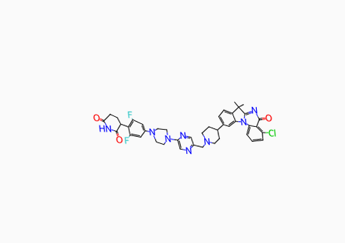 CC1(C)c2ccc(C3CCN(Cc4cnc(N5CCN(c6cc(F)c(C7CCC(=O)NC7=O)c(F)c6)CC5)cn4)CC3)cc2-n2c1nc(=O)c1c(Cl)cccc12